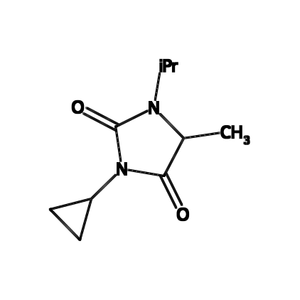 CC(C)N1C(=O)N(C2CC2)C(=O)C1C